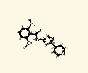 COc1cccc(OC)c1C(=O)Nc1nnc(-c2ccncc2)s1